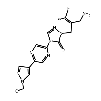 CCn1cc(-c2cnc(-n3cnn(CC(CN)=C(F)F)c3=O)cn2)cn1